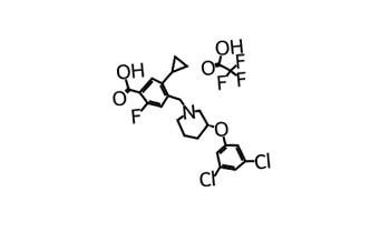 O=C(O)C(F)(F)F.O=C(O)c1cc(C2CC2)c(CN2CCC[C@H](Oc3cc(Cl)cc(Cl)c3)C2)cc1F